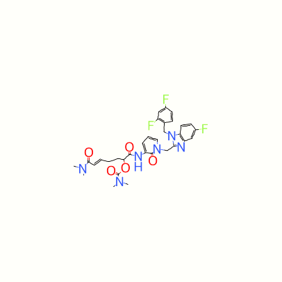 CN(C)C(=O)C=CCCC(OC(=O)N(C)C)C(=O)Nc1cccn(Cc2nc3cc(F)ccc3n2Cc2ccc(F)cc2F)c1=O